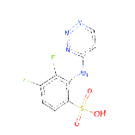 O=S(=O)(O)c1ccc(F)c(F)c1Nc1ccnnn1